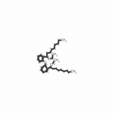 CCCCCCCCC(OCC)c1ccccc1Oc1ccccc1C(CCCCCCCC)OCC